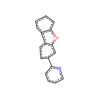 [c]1cc(-c2ccccn2)cc2oc3ccccc3c12